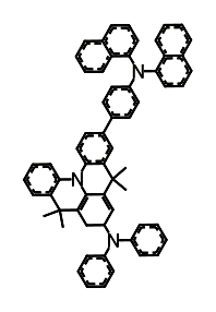 CC1(C)C2=CC(N(c3ccccc3)c3ccccc3)CC3=C2N(c2ccc(-c4ccc(N(c5cccc6ccccc56)c5cccc6ccccc56)cc4)cc21)c1ccccc1C3(C)C